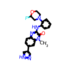 Cn1c(=O)c(Nc2ccccc2N2CCOC(F)C2)nc2ccc(-c3cn[nH]c3)cc21